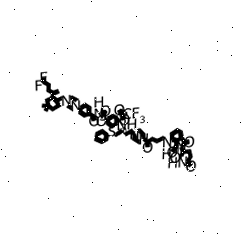 C=C(CCC(F)F)C1=C(CN2CCN(c3ccc(C(=O)NS(=O)(=O)c4ccc(N[C@H](CCN5CCN(C(=O)CCCNc6cccc7c6C(=O)N(C6CCC(=O)NC6=O)C7=O)CC5)CSc5ccccc5)c(S(=O)(=O)C(F)(F)F)c4)cc3)CC2)CCC(C)(C)C1